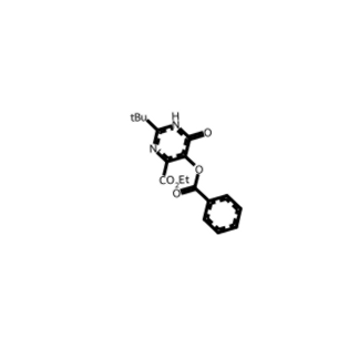 CCOC(=O)c1nc(C(C)(C)C)[nH]c(=O)c1OC(=O)c1ccccc1